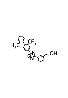 Cc1ccccc1-c1ccc(-c2nc(-c3cccc(CCO)c3)no2)cc1C(F)(F)F